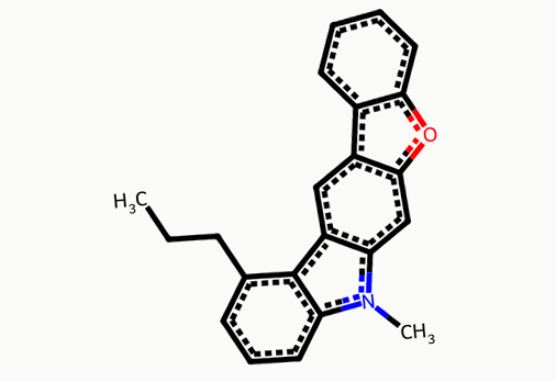 CCCc1cccc2c1c1cc3c(cc1n2C)oc1ccccc13